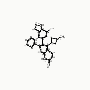 CN1CC(c2c(-c3cc(Cl)c4[nH]ncc4c3)c(-c3ccccc3)nc3[nH]c(=O)ccc23)C1